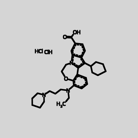 CCN(CCCN1CCCCC1)c1cccc2c1OCCn1c-2c(C2CCCCC2)c2ccc(C(=O)O)cc21.Cl.Cl